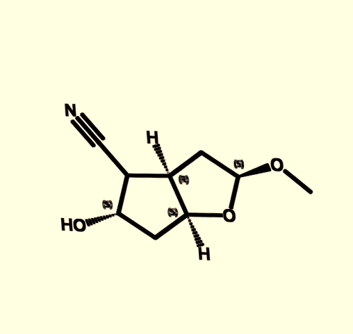 CO[C@@H]1C[C@@H]2C(C#N)[C@@H](O)C[C@@H]2O1